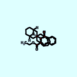 CCOC(=O)c1nc2ccccc2c(=O)n1C1C[C@H]2CCC[C@@H](C1)N2[C@@H]1C[C@@H]2CCCC[C@@H](C2)C1